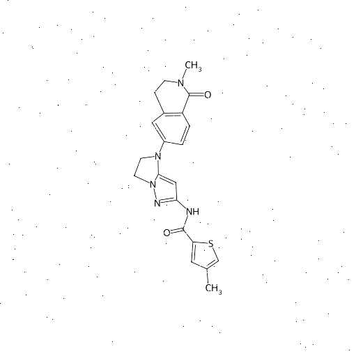 Cc1csc(C(=O)Nc2cc3n(n2)CCN3c2ccc3c(c2)CCN(C)C3=O)c1